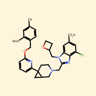 COc1cc(C#N)ccc1COc1cccc(C23CCN(Cc4nc5c(Cl)cc(C(=O)O)cc5n4CC4CCO4)CC2C3)n1